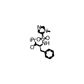 CC(C)C(=O)[C@H](Cc1ccccc1)NS(=O)(=O)c1cncn1C